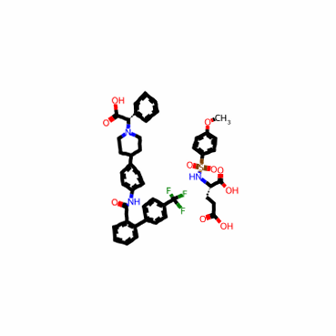 COc1ccc(S(=O)(=O)N[C@@H](CCC(=O)O)C(=O)O)cc1.O=C(Nc1ccc(C2CCN([C@H](C(=O)O)c3ccccc3)CC2)cc1)c1ccccc1-c1ccc(C(F)(F)F)cc1